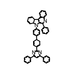 C1=CC2c3c(c(-c4ccccc4)nc4ccccc34)N(c3ccc(C4C=CC(c5nc(-c6ccccc6)cc(-c6ccccc6)n5)=CC4)cc3)C2C=C1